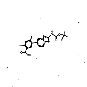 Cc1cc(F)c(-c2ccn3nc(NC(=O)OC(C)(C)C)nc3c2)cc1C(=O)O